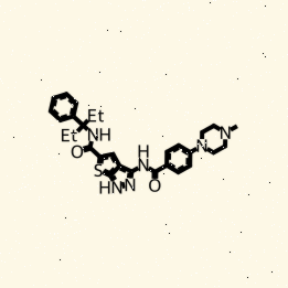 CCC(CC)(NC(=O)c1cc2c(NC(=O)c3ccc(N4CCN(C)CC4)cc3)n[nH]c2s1)c1ccccc1